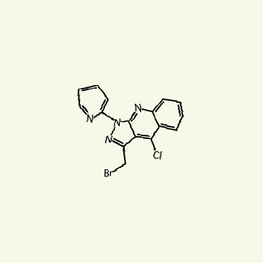 Clc1c2ccccc2nc2c1c(CBr)nn2-c1ccccn1